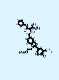 COCCn1c(-c2c[nH]c(=O)c(C)c2)nc2cc(CNC(C(=O)OC3CCCC3)[C@@H](C)O)ccc21